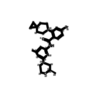 Cc1cc(NC(=O)c2ccc(Br)cc2N2CCC3(CC2)CC3)nc(N2CCO[C@H](C)C2)c1